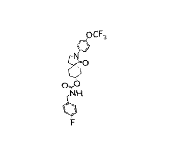 O=C(NCc1ccc(F)cc1)O[C@H]1CC[C@@]2(CCN(c3ccc(OC(F)(F)F)cc3)C2=O)CC1